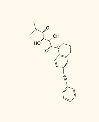 CN(C)C(=O)[C@H](O)C(O)C(=O)N1CCCc2cc(C#Cc3ccccc3)ccc21